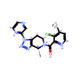 C[C@@H]1c2nnn(-c3cnccn3)c2CCN1C(=O)c1nccc(C(F)(F)F)c1Cl